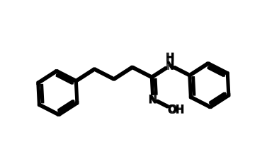 ON=C(CCCc1ccccc1)Nc1ccccc1